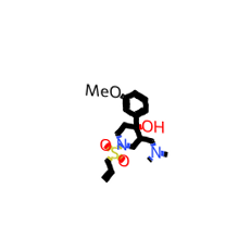 C=CCS(=O)(=O)N1CCC(O)(c2cccc(OC)c2)C(CN(C)C)C1